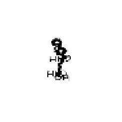 O=C(CCCCNC(=O)c1ccc(N2CCCCC2)cc1)NO